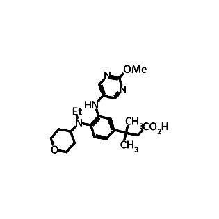 CCN(c1ccc(C(C)(C)CC(=O)O)cc1Nc1cnc(OC)nc1)C1CCOCC1